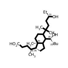 CC[C@H](O)CCC(C)(C)C1CC[C@@]2(C)C(CC[C@@H]2[C@H](C)CCC(=O)O)C1[C@H](O)[C@@H](C)CC